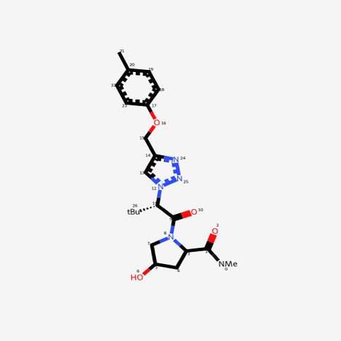 CNC(=O)C1CC(O)CN1C(=O)[C@@H](n1cc(COc2ccc(C)cc2)nn1)C(C)(C)C